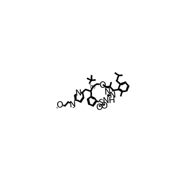 COCCN(C)c1ccc(CC2c3cccc(c3)S(=O)(=O)Nc3nc(c(C)c(-c4c(C)cccc4CC(C)C)n3)OC[C@H]2CC(C)(C)C)nc1